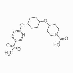 CS(=O)(=O)c1ccc(O[C@H]2CC[C@H](OC3CCN(C(=O)O)CC3)CC2)nc1